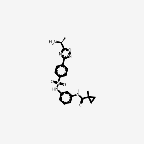 C[C@H](N)c1nc(-c2ccc(S(=O)(=O)Nc3cccc(NC(=O)C4(C)CC4)c3)cc2)no1